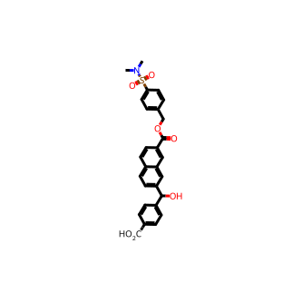 CN(C)S(=O)(=O)c1ccc(COC(=O)c2ccc3ccc(C(O)c4ccc(C(=O)O)cc4)cc3c2)cc1